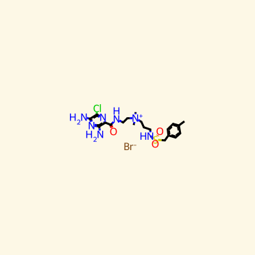 Cc1ccc(CS(=O)(=O)NCCC[N+](C)(C)CCNC(=O)c2nc(Cl)c(N)nc2N)cc1.[Br-]